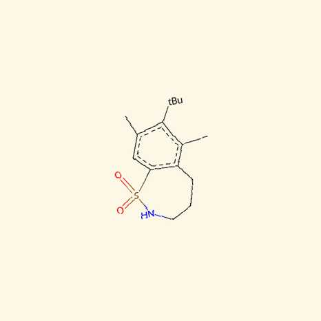 Cc1cc2c(c(C)c1C(C)(C)C)CCCNS2(=O)=O